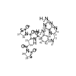 CN(Cc1cnc2nc(N)nc(N)c2n1)c1ccc(C(=O)NC(CCC(=O)N2CCSC2=O)C(=O)N2CCSC2=O)cc1